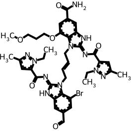 CCn1nc(C)cc1C(=O)/N=c1\[nH]c2cc(C=O)cc(Br)c2n1C/C=C/Cn1/c(=N/C(=O)c2cc(C)nn2CC)[nH]c2cc(C(N)=O)cc(OCCCOC)c21